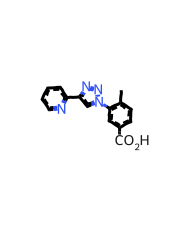 Cc1ccc(C(=O)O)cc1-n1cc(-c2ccccn2)nn1